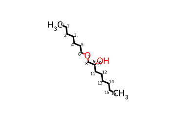 CCCCCCCOCC(O)CCCCCC